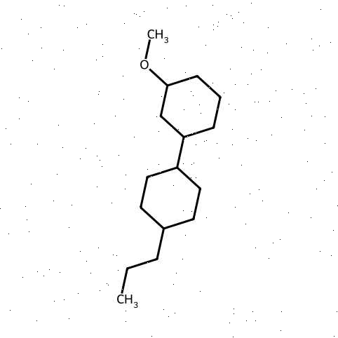 CCCC1CCC(C2CCCC(OC)C2)CC1